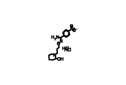 Cl.Cl.NC(=NOCCCN1CCCCC1O)c1ccc([N+](=O)[O-])cc1